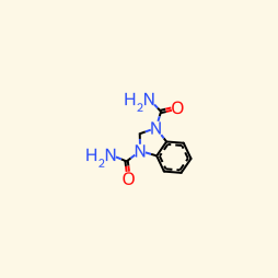 NC(=O)N1CN(C(N)=O)c2ccccc21